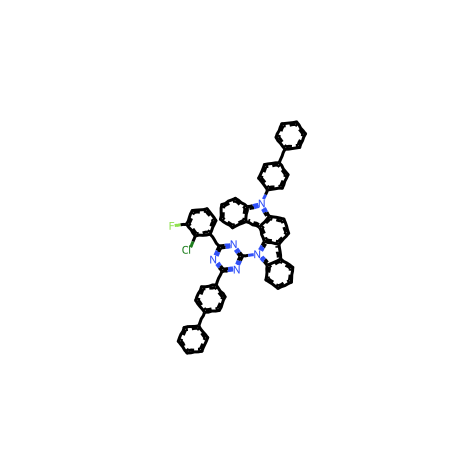 Fc1cccc(-c2nc(-c3ccc(-c4ccccc4)cc3)nc(-n3c4ccccc4c4ccc5c(c6ccccc6n5-c5ccc(-c6ccccc6)cc5)c43)n2)c1Cl